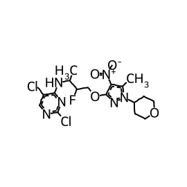 Cc1c([N+](=O)[O-])c(OCC(F)C(C)Nc2nc(Cl)ncc2Cl)nn1C1CCOCC1